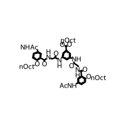 CCCCCCCCOC(=O)c1cc(NC(=O)CNC(=O)c2cc(NC(C)=O)ccc2OCCCCCCCC)cc(NC(=O)CNC(=O)c2cc(NC(C)=O)ccc2OCCCCCCCC)c1